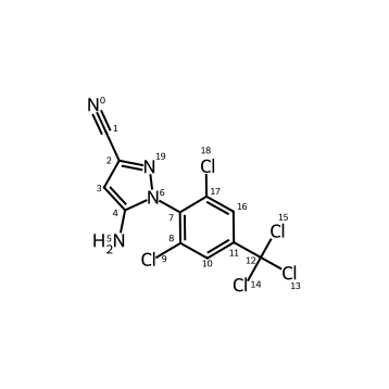 N#Cc1cc(N)n(-c2c(Cl)cc(C(Cl)(Cl)Cl)cc2Cl)n1